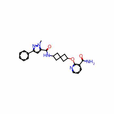 Cn1nc(-c2ccccc2)cc1C(=O)NC1CC2(C1)CC(Oc1ncccc1C(N)=O)C2